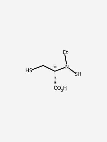 CCN(S)[C@@H](CS)C(=O)O